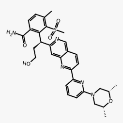 Cc1ccc(C(N)=O)c([C@H](CCO)c2cc3nc(-c4cccc(N5C[C@@H](C)O[C@@H](C)C5)n4)ccc3cn2)c1S(C)(=O)=O